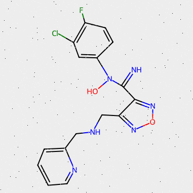 N=C(c1nonc1CNCc1ccccn1)N(O)c1ccc(F)c(Cl)c1